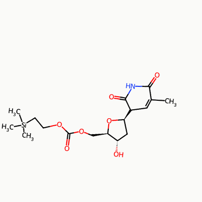 CC1=CC([C@H]2C[C@H](O)[C@@H](COC(=O)OCC[Si](C)(C)C)O2)C(=O)NC1=O